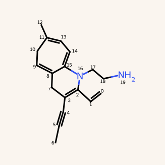 C=CC1=C(C#CC)CC2=CCC(C)=CC=C2N1CCN